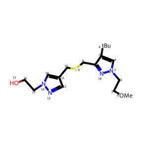 COCCn1cc(C(C)(C)C)c(CSCc2cnn(CCO)c2)n1